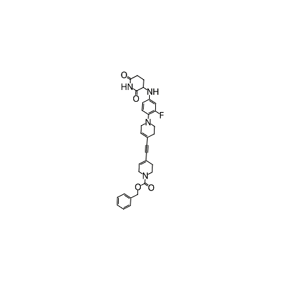 O=C1CCC(Nc2ccc(N3CC=C(C#CC4=CCN(C(=O)OCc5ccccc5)CC4)CC3)c(F)c2)C(=O)N1